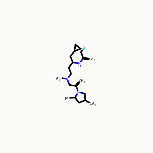 C=C(CF)NC(CCN(C)CC(=C)N1CC(C)CC1C#N)CC1CC1